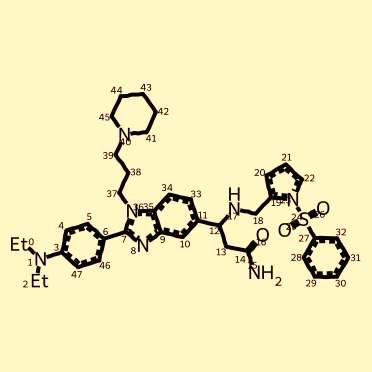 [CH2]CN(C[CH2])c1ccc(-c2nc3cc(C(CC(N)=O)NCc4cccn4S(=O)(=O)c4ccccc4)ccc3n2CCCN2CCCCC2)cc1